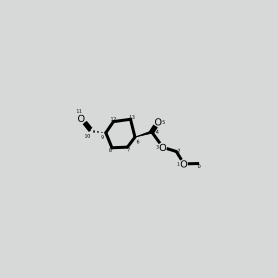 COCOC(=O)[C@H]1CC[C@H](C=O)CC1